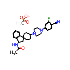 CC(=O)NC1CC2(CCC(N3CCN(c4ccc(C#N)c(F)c4)CC3)CC2)c2ccccc21.CS(=O)(=O)O